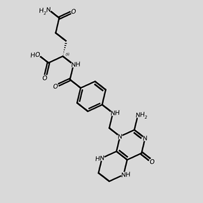 NC(=O)CC[C@H](NC(=O)c1ccc(NCn2c(N)nc(=O)c3c2NCCN3)cc1)C(=O)O